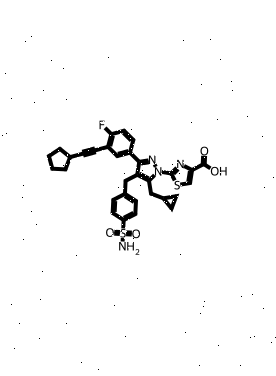 NS(=O)(=O)c1ccc(Cc2c(-c3ccc(F)c(C#CC4CCCC4)c3)nn(-c3nc(C(=O)O)cs3)c2CC2CC2)cc1